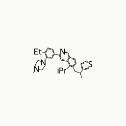 CCc1ccc(-c2cc3c(C(C)C)c(CC(C)c4ccsc4)ccc3cn2)cc1N1CCN(C)CC1